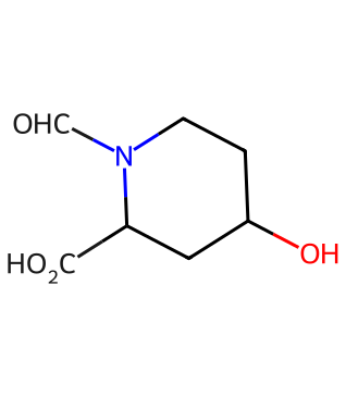 O=CN1CCC(O)CC1C(=O)O